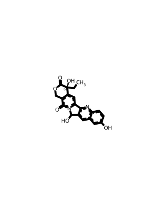 CC[C@@]1(O)C(=O)OCc2c1cc1n(c2=O)C(O)c2cc3cc(O)ccc3nc2-1